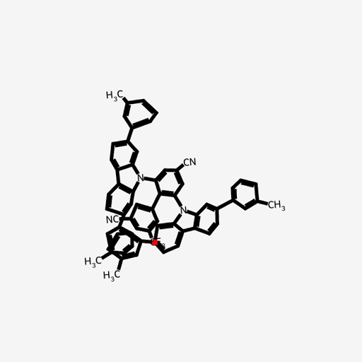 Cc1cccc(-c2ccc3c4ccc(-c5cccc(C)c5)cc4n(-c4cc(C#N)cc(-n5c6cc(-c7cccc(C)c7)ccc6c6ccc(-c7cccc(C)c7)cc65)c4-c4cc(C#N)cc(C(F)(F)F)c4)c3c2)c1